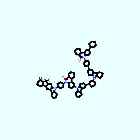 CC1(C)c2ccccc2-c2cc3c4ccccc4n(-c4ccc(-n5c(=O)c6ccccc6c6cc(-n7c8ccccc8c8cc(-c9cccc(-n%10c%11ccccc%11c%11cc(-c%12ccc(-n%13c(=O)c%14ccccc%14c%14cc(-c%15ccccc%15)ccc%14%13)cc%12)ccc%11%10)c9)ccc87)ccc65)cc4)c3cc21